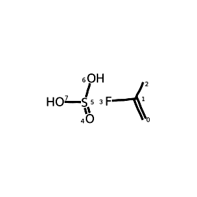 C=C(C)F.O=S(O)O